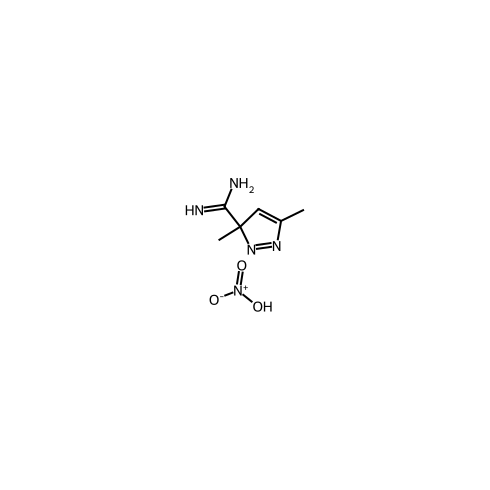 CC1=CC(C)(C(=N)N)N=N1.O=[N+]([O-])O